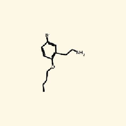 CCCCOc1ccc(Br)cc1CCN